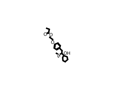 CCC(=O)OCCOc1ccc(CC(N(C)C)C2(O)CCCCC2)cc1